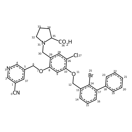 N#Cc1cncc(COc2cc(OCc3cccc(-c4ccccc4)c3Br)c(Cl)cc2CN2CCCC2C(=O)O)c1